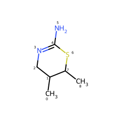 CC1CN=C(N)SC1C